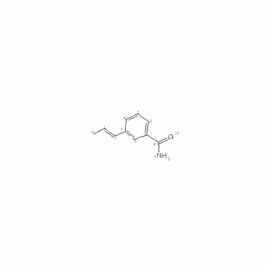 CC=Cc1cccc(C(N)=O)c1